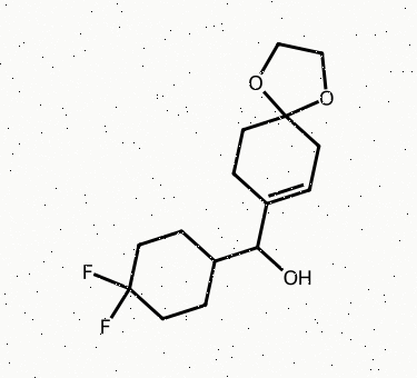 OC(C1=CCC2(CC1)OCCO2)C1CCC(F)(F)CC1